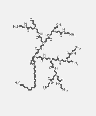 CCCCC/C=C\C/C=C\CCCCCCCCn1cc(CN(CCC(=O)NCCN(CCC(=O)NCCN(CCC)CCC(=O)NCCN)CCC(=O)NCCN(CCC=O)CCC(=O)NCCN)CCC(=O)NCCN(CCC(=O)NCCN(CCC)CCC(=O)NCCN)CCC(=O)NCCN(CCC(=O)NCCN)CCC(=O)NCCN)nn1